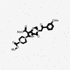 COC(=O)c1c(N2CCN(C(=O)OC(C)(C)C)CC2)[nH]c2c(=O)n(CC(=O)c3cccc(OC)c3)cnc12